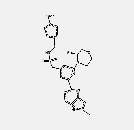 CC[C@H]1COCCN1c1cc(CS(=O)(=O)NCc2ccc(OC)cc2)cc(-c2ccc3[nH]c(C)cc3n2)n1